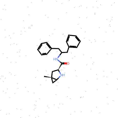 C[C@]12CC1N[C@H](C(=O)NC(Cc1ccccc1)Cc1ccccc1)C2